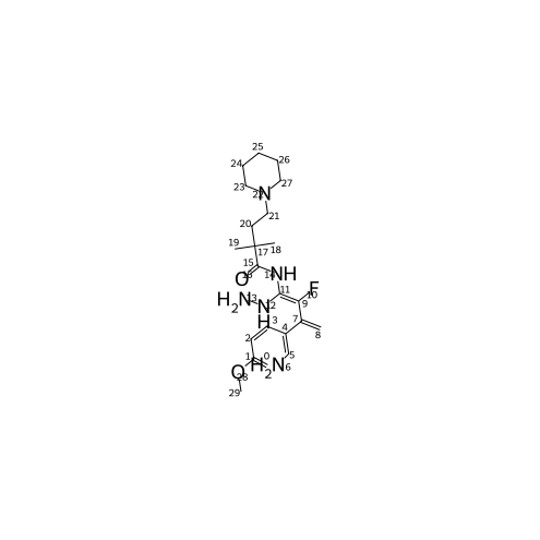 C=C(/C=C\C(=C/N)C(=C)/C(F)=C(\NN)NC(=O)C(C)(C)CCN1CCCCC1)OC